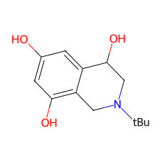 CC(C)(C)N1Cc2c(O)cc(O)cc2C(O)C1